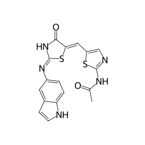 CC(=O)Nc1ncc(C=C2SC(=Nc3ccc4[nH]ccc4c3)NC2=O)s1